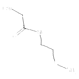 CCCCCC(=O)NCCSN